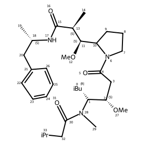 CC[C@@H](C)C([C@H](CC(=O)N1CCCC1[C@@H](OC)[C@H](C)C(=O)N[C@@H](C)Cc1ccccc1)OC)N(C)C(=O)CC(C)C